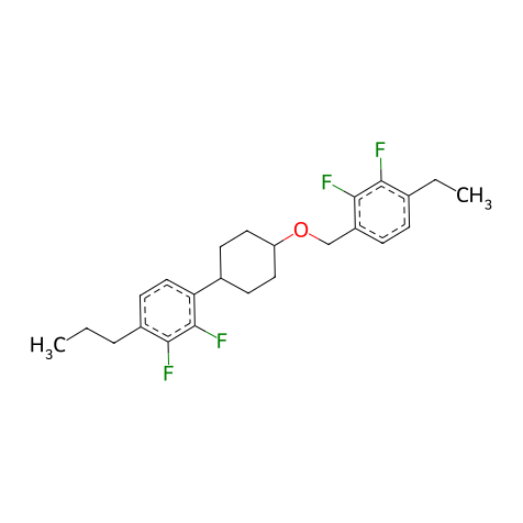 CCCc1ccc(C2CCC(OCc3ccc(CC)c(F)c3F)CC2)c(F)c1F